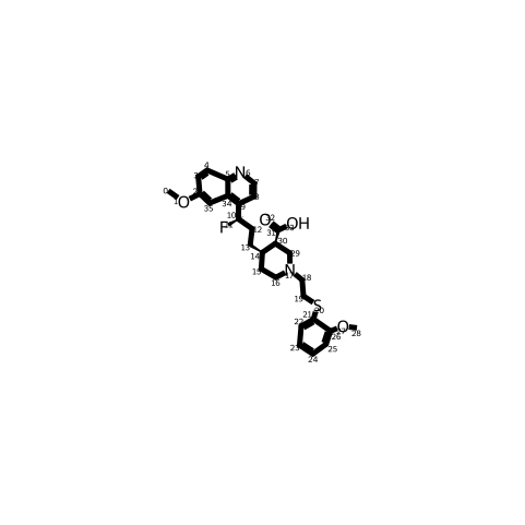 COc1ccc2nccc([C@H](F)CC[C@@H]3CCN(CCSc4ccccc4OC)C[C@@H]3C(=O)O)c2c1